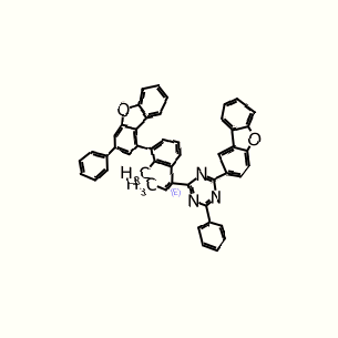 C/C=C(/c1nc(-c2ccccc2)nc(-c2ccc3oc4ccccc4c3c2)n1)c1cccc(-c2cc(-c3ccccc3)cc3oc4ccccc4c23)c1C